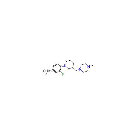 CN1CCN(CC2CCCN(c3ccc([N+](=O)[O-])cc3F)C2)CC1